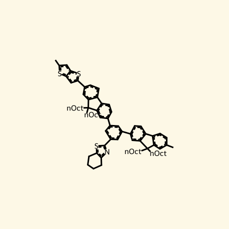 CCCCCCCCC1(CCCCCCCC)c2cc(C)ccc2-c2ccc(-c3cc(-c4ccc5c(c4)C(CCCCCCCC)(CCCCCCCC)c4cc(-c6cc7sc(C)cc7s6)ccc4-5)cc(-c4nc5c(s4)CCCC5)c3)cc21